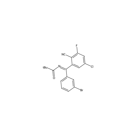 CC(C)(C)C(=O)/N=C(\c1cccc(Br)c1)c1cc(Cl)cc(F)c1C#N